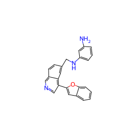 Nc1cccc(NCc2ccc3cncc(-c4cc5ccccc5o4)c3c2)c1